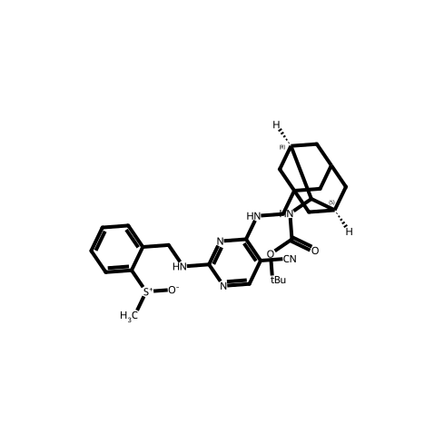 C[S+]([O-])c1ccccc1CNc1ncc(C#N)c(NCC23CC4C[C@H](C2)C(NC(=O)OC(C)(C)C)[C@@H](C4)C3)n1